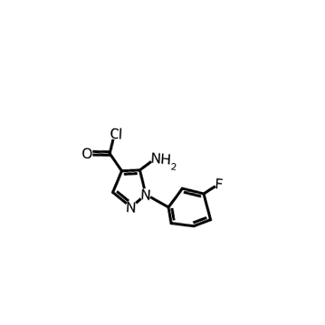 Nc1c(C(=O)Cl)cnn1-c1cccc(F)c1